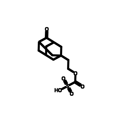 O=C1C2CC3CC1CC(CCOC(=O)S(=O)(=O)O)(C3)C2